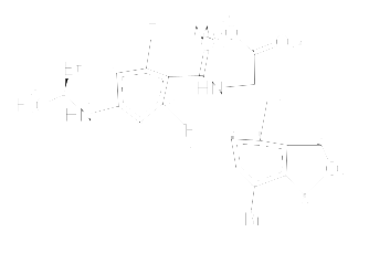 CC[C@@H](Nc1cc(F)c(C(=O)N[C@@H](Cc2ccc(Br)c3c2COC3)C(=O)OC)c(F)c1)C(F)(F)F